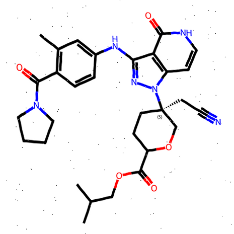 Cc1cc(Nc2nn([C@]3(CC#N)CCC(C(=O)OCC(C)C)OC3)c3cc[nH]c(=O)c23)ccc1C(=O)N1CCCC1